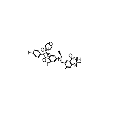 C#CCN(Cc1cc2c(=O)[nH]c(C)nc2cc1C)c1ccc(C(=O)C(c2ccc(F)cc2)S(=O)(=O)N2CCOCC2)c(F)c1